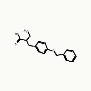 NOC(Cc1ccc(OCc2ccccc2)cc1)C(=O)O